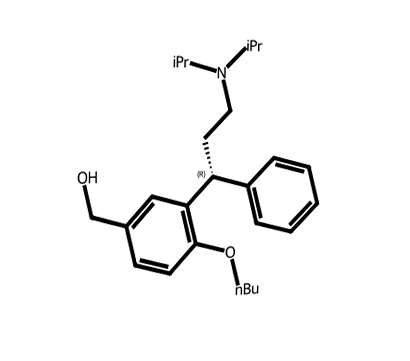 CCCCOc1ccc(CO)cc1[C@H](CCN(C(C)C)C(C)C)c1ccccc1